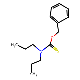 CCCN(CCC)C(=S)OCc1ccccc1